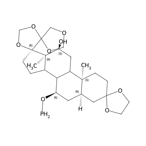 C[C@]12CCC3(C[C@H]1C[C@@H](OP)C1C2C[C@H](O)[C@@]2(C)C1CC[C@@]21OCOC12COCO2)OCCO3